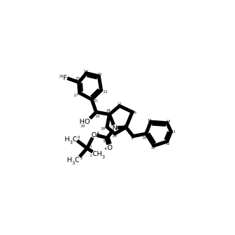 CC(C)(C)OC(=O)N1C2(Cc3ccccc3)CCC1(C(O)c1cccc(F)c1)CC2